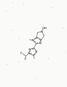 Cc1cc(-c2nc3c(n2C)CN(O)C3)nn1C(F)F